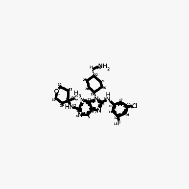 CC1(Nc2ncc3nc(Nc4cc(F)cc(Cl)c4)n([C@H]4CC[C@@H](CN)CC4)c3n2)CCOCC1